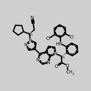 COC(=O)[C@@H](c1ccccc1Nc1c(Cl)cccc1Cl)n1ccc2c(-c3cnn([C@H](CC#N)C4CCCC4)c3)ncnc21